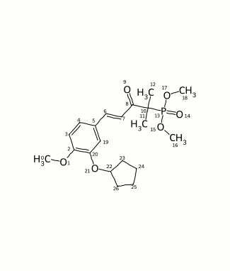 COc1ccc(C=CC(=O)C(C)(C)P(=O)(OC)OC)cc1OC1CCCC1